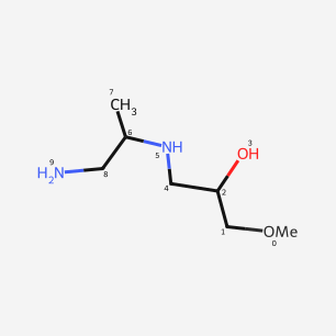 COCC(O)CNC(C)CN